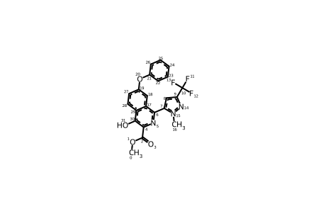 COC(=O)c1nc(-c2cc(C(F)(F)F)nn2C)c2cc(Oc3ccccc3)ccc2c1O